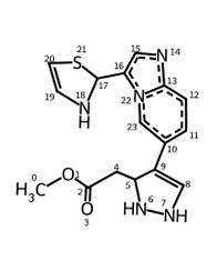 COC(=O)CC1NNC=C1c1ccc2ncc(C3NC=CS3)n2c1